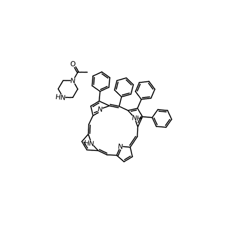 C1=Cc2cc3[nH]c(c(-c4ccccc4)c4nc(cc5ccc(cc1n2)[nH]5)C=C4c1ccccc1)c(-c1ccccc1)c3-c1ccccc1.CC(=O)N1CCNCC1